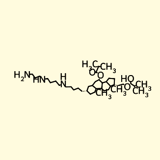 CC(C)C(=O)O[C@H]1CC2C[C@@H](CCCCCNCCCCNCCCN)CC[C@]2(C)C2CC[C@@]3(C)C(CC[C@@H]3CCOC(O)C(C)C)C21